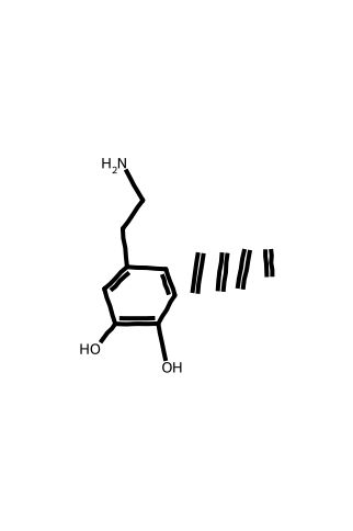 C=C.C=C.C=C.C=C.NCCc1ccc(O)c(O)c1